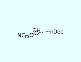 CCCCCCCCCCCCCCCCCCOC[C@H](CO)OCc1cccc(C#N)c1